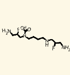 NCC(F)CNCCCCN(CC(F)CN)C(=O)O